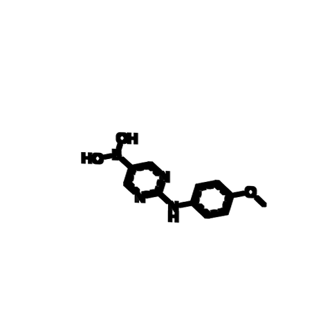 COc1ccc(Nc2ncc(B(O)O)cn2)cc1